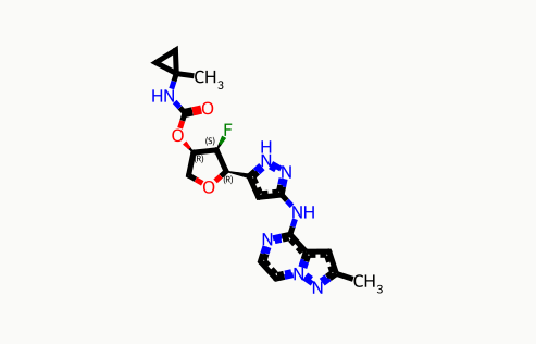 Cc1cc2c(Nc3cc([C@H]4OC[C@@H](OC(=O)NC5(C)CC5)[C@H]4F)[nH]n3)nccn2n1